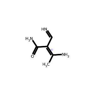 C/C(N)=C(/C=N)C(N)=O